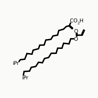 C=C(CCCCCCCCCCCCCCCC(C)C)C(=O)O.C=CC(=O)OCCCCCCCCCCCCCCCC(C)C